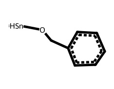 [SnH][O]Cc1ccccc1